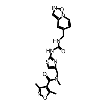 Cc1noc(C)c1C(=O)N(C)Cc1csc(NC(=O)NCC2=CC3=CNON3C=C2)n1